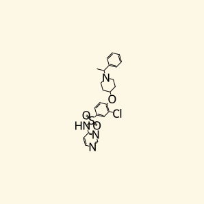 CC(c1ccccc1)N1CCC(Oc2ccc(S(=O)(=O)Nc3ccncn3)cc2Cl)CC1